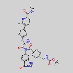 Cc1nc(C(=O)NC(C)C)ccc1-c1ccc(C[C@H](N)C(=O)N(c2ccc3c(=O)[nH][nH]c3c2)C(=O)[C@H]2CC[C@H](CNC(=O)OC(C)(C)C)CC2)cc1